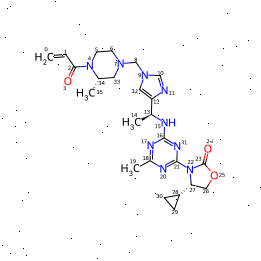 C=CC(=O)N1CCN(Cn2cnc([C@H](C)Nc3nc(C)nc(N4C(=O)OC[C@@H]4C4CC4)n3)c2)C[C@@H]1C